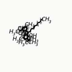 CCCCC/C=C/CCC(c1cc(C)cc(C(C)(C)C)c1O)c1cc(C)cc(C(C)(C)C)c1O